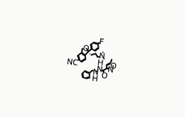 CN(C)CCC[C@@]1(c2ccc(F)cc2)OCc2cc(C#N)ccc21.Cc1cc(C(=O)NNCc2ccccc2)no1